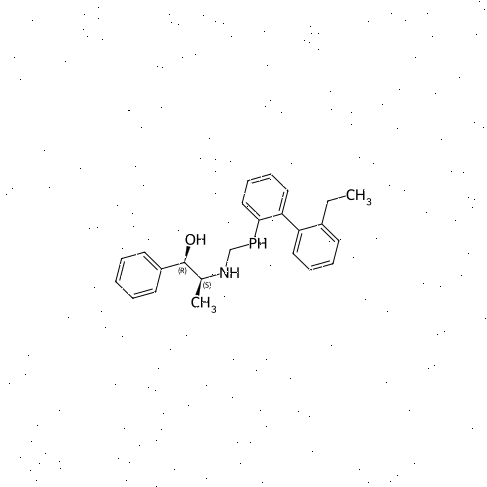 CCc1ccccc1-c1ccccc1PCN[C@@H](C)[C@H](O)c1ccccc1